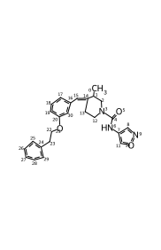 CC1CN(C(=O)Nc2cnoc2)CC/C1=C\c1cccc(OCCc2ccccc2)c1